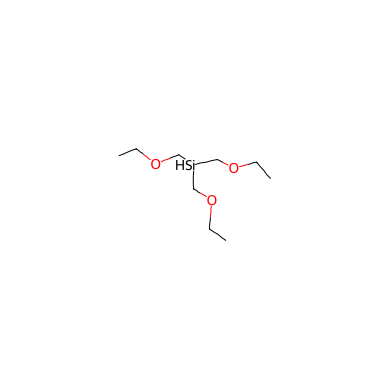 CCOC[SiH](COCC)COCC